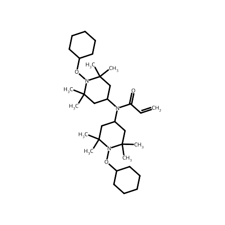 C=CC(=O)N(C1CC(C)(C)N(OC2CCCCC2)C(C)(C)C1)C1CC(C)(C)N(OC2CCCCC2)C(C)(C)C1